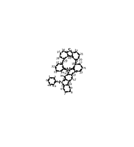 c1ccc(-n2c3ccccc3c3cc4c5cccc6c7cccc8sc9cccc(c%10ccccc%10n(c4cc32)c65)c9c87)cc1